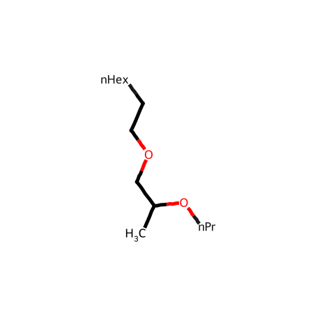 CCCCCCCCOCC(C)OCCC